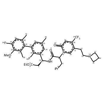 CCOC(=O)C[C@H](NC(=O)C(CC(C)C)n1cc(CCN2CCC2)c(C(F)(F)F)cc1=O)c1cc(C)cc(-c2c(C)cc(F)c(OC)c2C)c1F